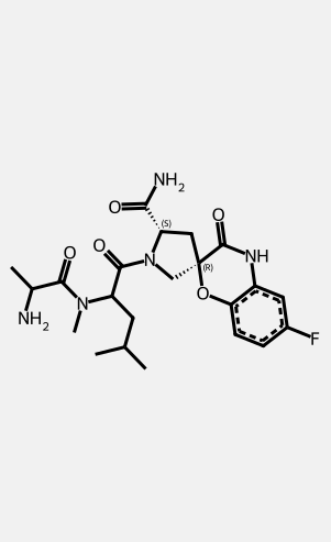 CC(C)CC(C(=O)N1C[C@@]2(C[C@H]1C(N)=O)Oc1ccc(F)cc1NC2=O)N(C)C(=O)C(C)N